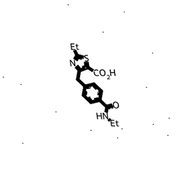 CCNC(=O)c1ccc(Cc2nc(CC)sc2C(=O)O)cc1